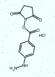 Cl.NNc1ccc(C(=O)ON2C(=O)CCC2=O)cc1